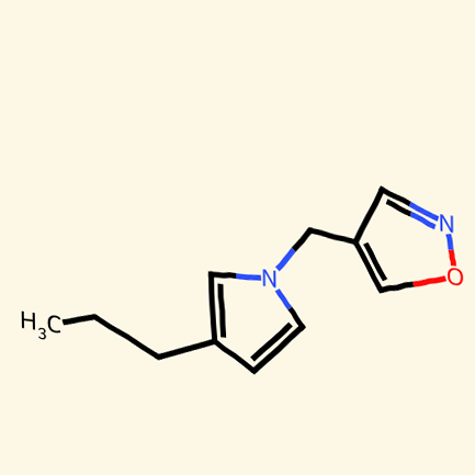 CCCc1ccn(Cc2cnoc2)c1